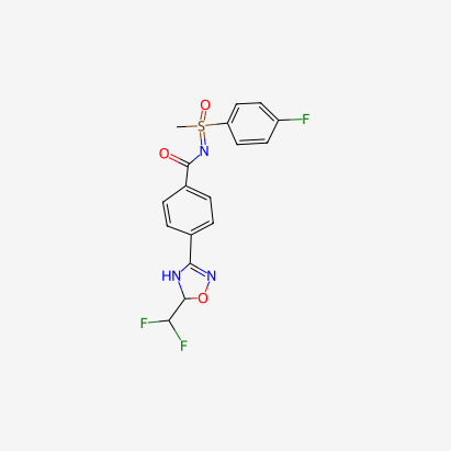 CS(=O)(=NC(=O)c1ccc(C2=NOC(C(F)F)N2)cc1)c1ccc(F)cc1